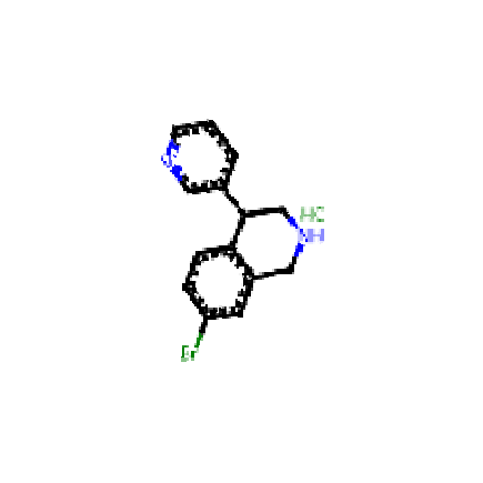 Brc1ccc2c(c1)CNCC2c1cccnc1.Cl